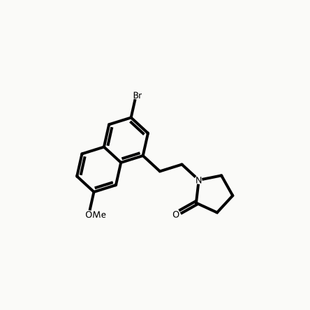 COc1ccc2cc(Br)cc(CCN3CCCC3=O)c2c1